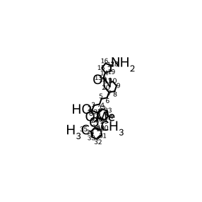 COC(O)(CCCCC1CCCN(C(=O)C2CCC(N)C2)C1)c1ccccc1Oc1c(C)cccc1C